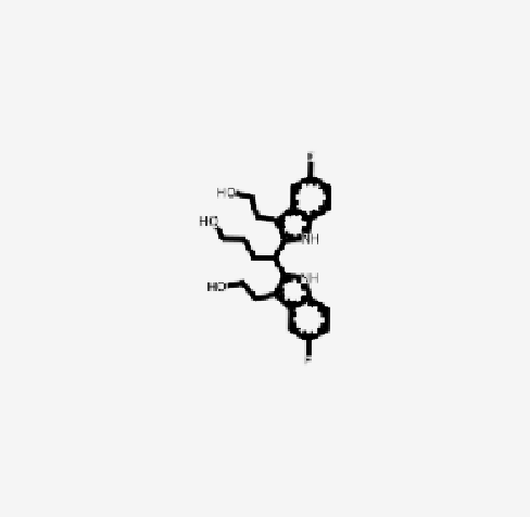 OCCCC(c1[nH]c2ccc(F)cc2c1CCO)c1[nH]c2ccc(F)cc2c1CCO